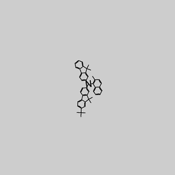 Cc1ccc2ccccc2c1N(c1ccc2c(c1)C(C)(C)c1ccccc1-2)c1ccc2c(c1)C(C)(C)c1cc(C(C)(C)C)ccc1-2